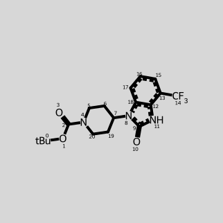 CC(C)(C)OC(=O)N1CCC(n2c(=O)[nH]c3c(C(F)(F)F)cccc32)CC1